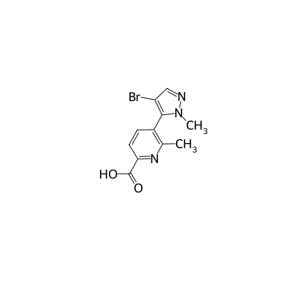 Cc1nc(C(=O)O)ccc1-c1c(Br)cnn1C